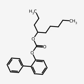 CCCCCC(CCC)OC(=O)Oc1ccccc1-c1ccccc1